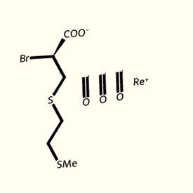 CSCCSC[C@@H](Br)C(=O)[O-].[C]=O.[C]=O.[C]=O.[Re+]